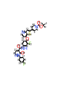 CC(C)(C)OC(=O)N1CC=C(c2cc3nccc(Oc4ccc(NC(=O)c5ccnn(-c6ccc(F)cc6)c5=O)cc4F)c3s2)CC1